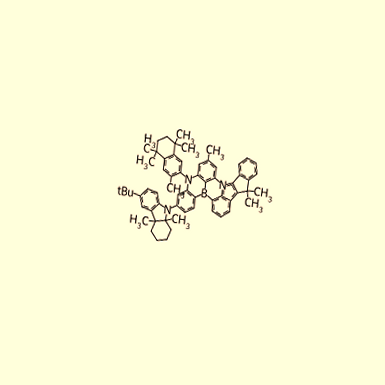 Cc1cc2c3c(c1)-n1c4c(c5cccc(c51)B3c1ccc(N3c5ccc(C(C)(C)C)cc5C5(C)CCCCC35C)cc1N2c1cc2c(cc1C)C(C)(C)CCC2(C)C)C(C)(C)c1ccccc1-4